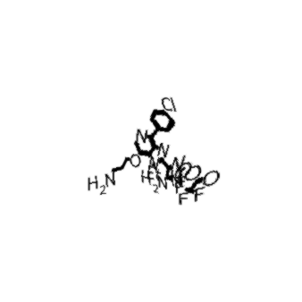 CCn1c(-c2nonc2N)nc2c(-c3ccc(Cl)cc3)ncc(OCCCN)c21.O=C(O)C(F)(F)F